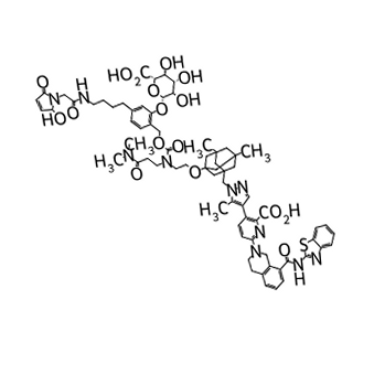 Cc1c(-c2ccc(N3CCc4cccc(C(=O)Nc5nc6ccccc6s5)c4C3)nc2C(=O)O)cnn1CC12CC3(C)CC(C)(C1)CC(OCCN(CCC(=O)N(C)C)C(=O)OCc1ccc(CCCCNC(=O)CN4C(=O)C=CC4O)cc1O[C@@H]1O[C@H](C(=O)O)[C@@H](O)[C@H](O)[C@H]1O)(C3)C2